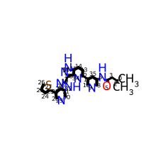 CC(C)CC(=O)Nc1cncc(-c2ccc3[nH]nc(-c4nc5c(-c6cccs6)cncc5[nH]4)c3n2)c1